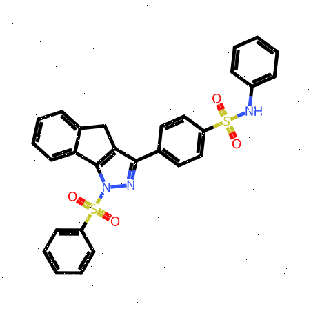 O=S(=O)(Nc1ccccc1)c1ccc(-c2nn(S(=O)(=O)c3ccccc3)c3c2Cc2ccccc2-3)cc1